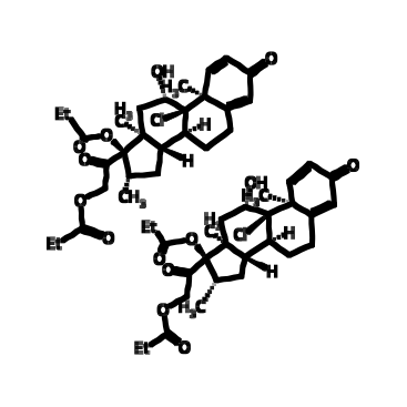 CCC(=O)OCC(=O)[C@@]1(OC(=O)CC)[C@@H](C)C[C@H]2[C@@H]3CCC4=CC(=O)C=C[C@]4(C)[C@@]3(Cl)[C@@H](O)C[C@@]21C.CCC(=O)OCC(=O)[C@@]1(OC(=O)CC)[C@@H](C)C[C@H]2[C@@H]3CCC4=CC(=O)C=C[C@]4(C)[C@@]3(Cl)[C@@H](O)C[C@@]21C